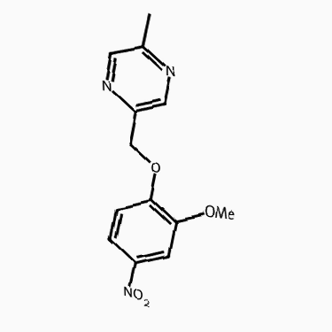 COc1cc([N+](=O)[O-])ccc1OCc1cnc(C)cn1